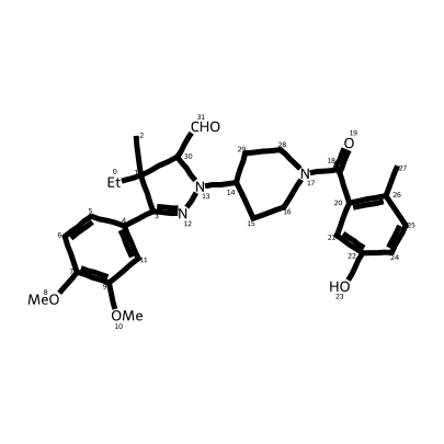 CCC1(C)C(c2ccc(OC)c(OC)c2)=NN(C2CCN(C(=O)c3cc(O)ccc3C)CC2)C1C=O